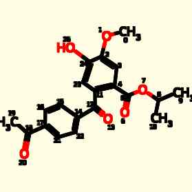 COc1cc(C(=O)OC(C)C)c(C(=O)c2ccc(C(C)=O)cc2)cc1O